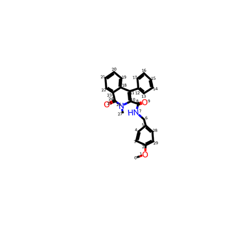 COc1ccc(CNC(=O)c2c(-c3ccccc3)c3ccccc3c(=O)n2C)cc1